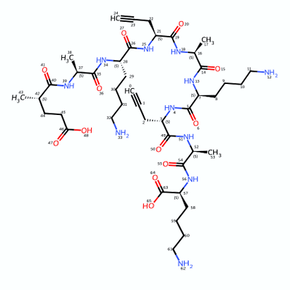 C#CC[C@H](NC(=O)[C@H](CCCCN)NC(=O)[C@H](C)NC(=O)[C@H](CC#C)NC(=O)[C@H](CCCCN)NC(=O)[C@H](C)NC(=O)[C@@H](C)CCC(=O)O)C(=O)N[C@@H](C)C(=O)N[C@@H](CCCCN)C(=O)O